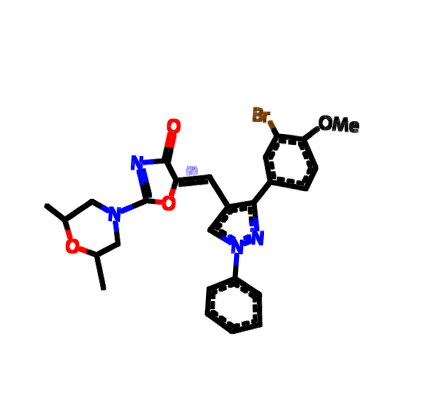 COc1ccc(-c2nn(-c3ccccc3)cc2/C=C2\OC(N3CC(C)OC(C)C3)=NC2=O)cc1Br